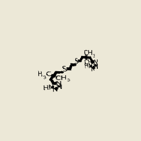 CC(C)(CCSCCCSCCC(C)(C)Cc1nnn[nH]1)Cc1nnn[nH]1